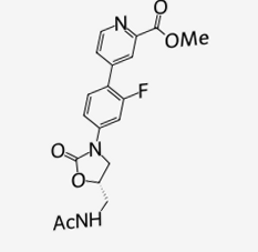 COC(=O)c1cc(-c2ccc(N3C[C@H](CNC(C)=O)OC3=O)cc2F)ccn1